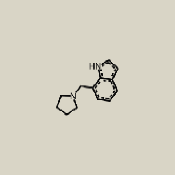 c1cc(CN2CCCC2)c2[nH]ccc2c1